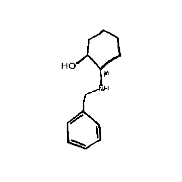 OC1CCCC[C@H]1NCc1ccccc1